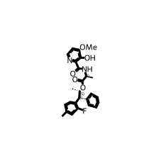 COc1ccnc(C(=O)N[C@@H](C)C(=O)O[C@@H](C)[C@H](c2ccccc2)c2ccc(C)cc2F)c1O